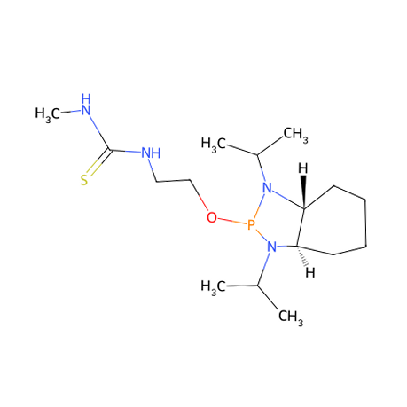 CNC(=S)NCCOP1N(C(C)C)[C@@H]2CCCC[C@H]2N1C(C)C